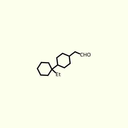 CCC1(C2CCC(CC=O)CC2)CCCCC1